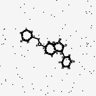 c1ccc(COc2ccc3c(-c4cccnc4)csc3c2)cc1